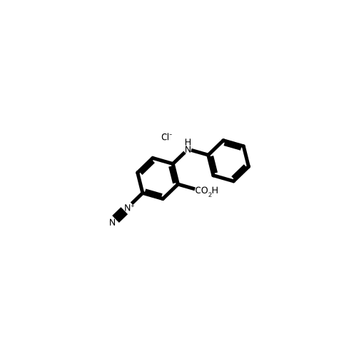 N#[N+]c1ccc(Nc2ccccc2)c(C(=O)O)c1.[Cl-]